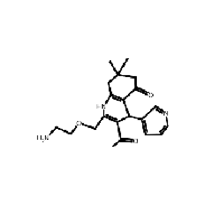 CC(=O)C1=C(COCCN)NC2=C(C(=O)CC(C)(C)C2)C1c1cccnc1